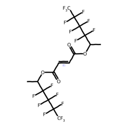 CC(OC(=O)/C=C/C(=O)OC(C)C(F)(F)C(F)(F)C(F)(F)C(F)(F)F)C(F)(F)C(F)(F)C(F)(F)C(F)(F)F